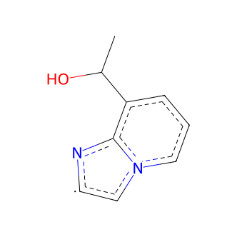 CC(O)c1cccn2c[c]nc12